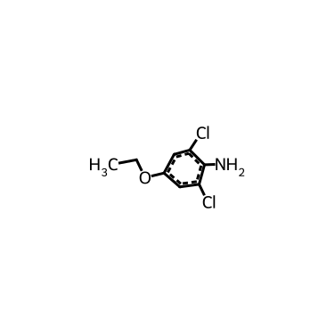 CCOc1cc(Cl)c(N)c(Cl)c1